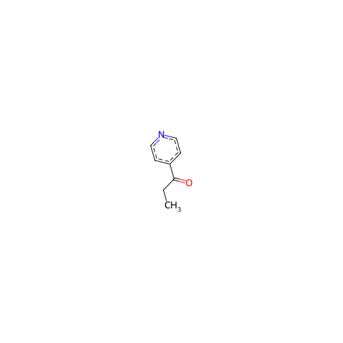 CCC(=O)c1ccncc1